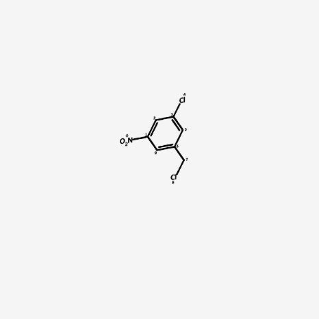 O=[N+]([O-])c1cc(Cl)cc(CCl)c1